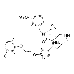 COc1cccc(CN(C(=O)C2=C(c3cnc(OCCOc4c(F)ccc(Cl)c4F)s3)CC3CNC[C@H]2N3)C2CC2)c1C